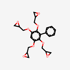 c1ccc(-c2c(OCC3CO3)c(OCC3CO3)cc(OCC3CO3)c2OCC2CO2)cc1